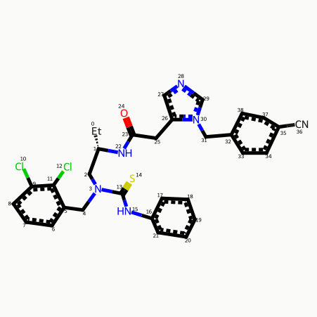 CC[C@@H](CN(Cc1cccc(Cl)c1Cl)C(=S)Nc1ccccc1)NC(=O)Cc1cncn1Cc1ccc(C#N)cc1